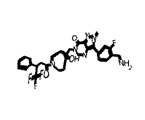 Cn1nc2c(=O)n(CC3(O)CCN(C(=O)CC(c4ccccc4)C(F)(F)F)CC3)cnc2c1-c1ccc(CN)c(F)c1